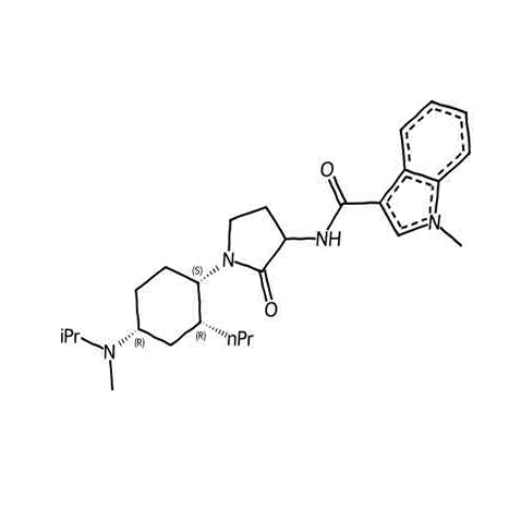 CCC[C@@H]1C[C@H](N(C)C(C)C)CC[C@@H]1N1CCC(NC(=O)c2cn(C)c3ccccc23)C1=O